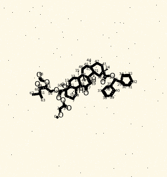 COCC(=O)O[C@H]1CC[C@@]2(C)[C@@H](CC[C@]3(C)[C@@H]2C(=O)C=C2[C@@H]4C[C@@](C)(C(=O)OC(c5ccccc5)c5ccccc5)CC[C@]4(C)CC[C@]23C)[C@]1(C)C(=O)OCc1oc(=O)oc1C(C)C